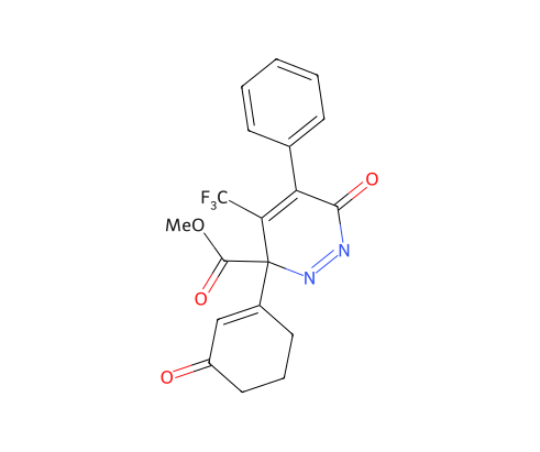 COC(=O)C1(C2=CC(=O)CCC2)N=NC(=O)C(c2ccccc2)=C1C(F)(F)F